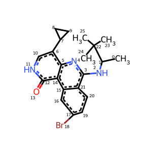 CC(Nc1nc2c(C3CC3)c[nH]c(=O)c2c2cc(Br)ccc12)C(C)(C)C